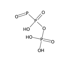 O=PP(=O)(O)OP(=O)(O)O